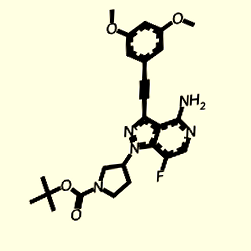 COc1cc(C#Cc2nn(C3CCN(C(=O)OC(C)(C)C)C3)c3c(F)cnc(N)c23)cc(OC)c1